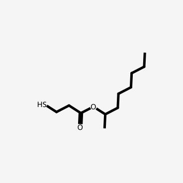 CCCCCCC(C)OC(=O)CCS